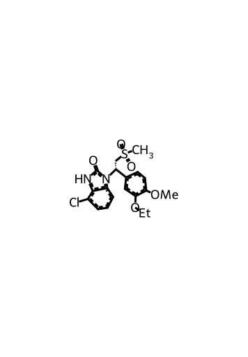 CCOc1cc([C@@H](CS(C)(=O)=O)n2c(=O)[nH]c3c(Cl)cccc32)ccc1OC